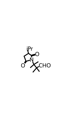 CC(C)C1CC(=O)N(C(C)(C)C(C)(C)C=O)C1=O